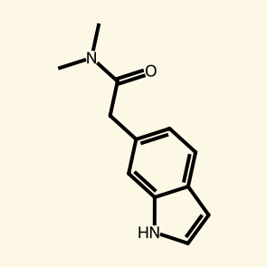 CN(C)C(=O)Cc1ccc2cc[nH]c2c1